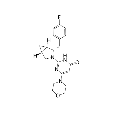 O=c1cc(N2CCOCC2)nc(N2C[C@@H]3C[C@H]3[C@@H]2Cc2ccc(F)cc2)[nH]1